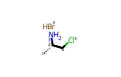 Br.C[C@H](N)CCl